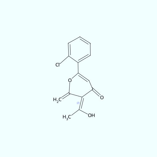 C=c1oc(-c2ccccc2Cl)cc(=O)/c1=C(/C)O